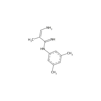 C/C(=C/N)C(=N)Nc1cc(C)cc(C)c1